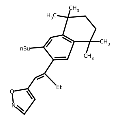 CCCCc1cc2c(cc1C(=Cc1ccno1)CC)C(C)(C)CCC2(C)C